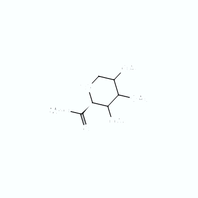 COC(=O)[C@H]1OCC(OC(C)=O)C(OC(C)=O)C1OC(C)=O